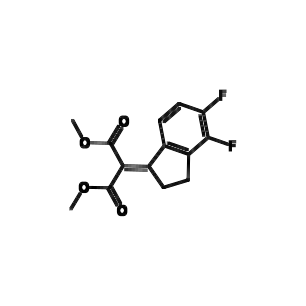 COC(=O)C(C(=O)OC)=C1CCc2c1ccc(F)c2F